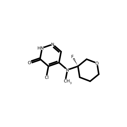 CN(c1cn[nH]c(=O)c1Cl)[C@]1(F)CCCOC1